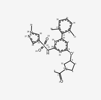 CC(=O)N1CCC(Oc2cc(-c3c(C)cccc3C)nc(NS(=O)(=O)c3cnn(C)c3)n2)C1